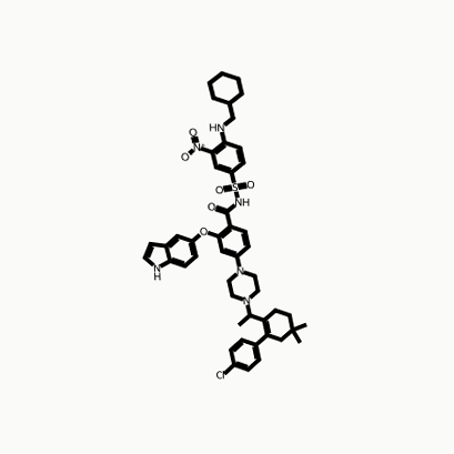 CC(C1=C(c2ccc(Cl)cc2)CC(C)(C)CC1)N1CCN(c2ccc(C(=O)NS(=O)(=O)c3ccc(NCC4CCCCC4)c([N+](=O)[O-])c3)c(Oc3ccc4[nH]ccc4c3)c2)CC1